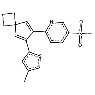 Cc1csc(C2=CC3(C=C2c2ccc(S(C)(=O)=O)cn2)CCC3)c1